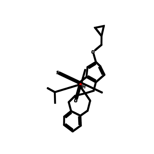 CC(C)N1C(=O)C2(NC1=S)c1cc(OCC3CC3)ccc1CC21CCc2ccccc2CC1